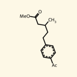 COC(=O)CC(C)CCc1ccc(C(C)=O)cc1